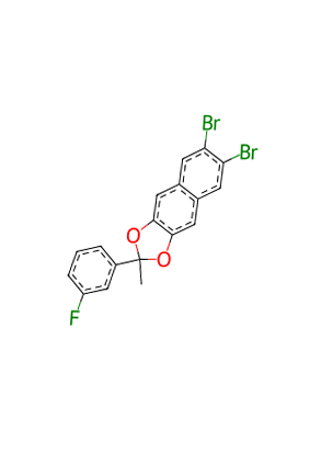 CC1(c2cccc(F)c2)Oc2cc3cc(Br)c(Br)cc3cc2O1